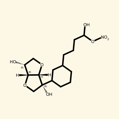 O=[N+]([O-])OC(O)CCCC1CCC[C]([C@@]2(O)CO[C@@H]3[C@H](O)CO[C@@H]32)C1